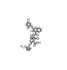 Cn1nnnc1SCC1=C(C(=O)O)N2C(=O)C(NC(=O)C(NC(=O)COc3c[nH]cnc3=O)c3ccccc3)[C@H]2SC1